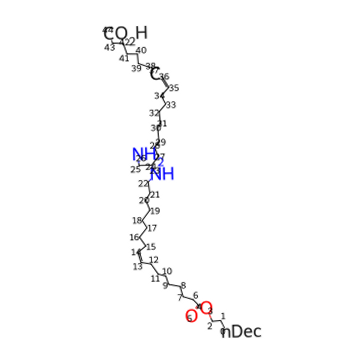 CCCCCCCCCCCCOC(=O)CCCCCCC/C=C\CCCCCCCCNC(CN)CCCCCCCC/C=C\CCCCCCCC(=O)O